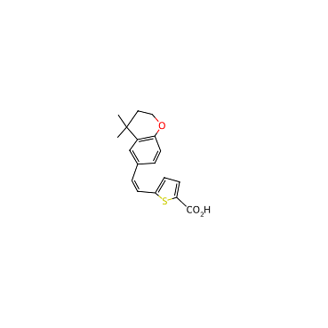 CC1(C)CCOc2ccc(/C=C\c3ccc(C(=O)O)s3)cc21